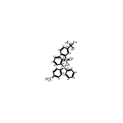 Cc1ccc(S(OS(=O)(=O)c2cccc(C(F)(F)F)c2)(c2ccccc2)c2ccccc2)cc1